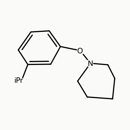 CC(C)c1cccc(ON2CCCCC2)c1